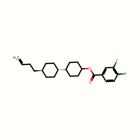 C=CCC[C@H]1CC[C@H](C2CCC(OC(=O)c3ccc(F)c(F)c3)CC2)CC1